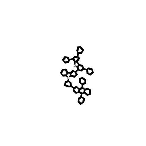 c1ccc(-c2cc(-c3ccccc3)c3oc4c(-c5ccc6c(c5)c5ccccc5n6-c5cccc(-c6ccc7c(-c8ccccc8)c8ccccc8c(-c8ccccc8)c7c6)c5)cc(-c5ccccc5)cc4c3c2)cc1